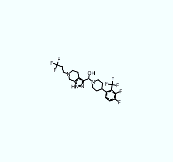 OC(c1n[nH]c2c1CCN(CCC(F)(F)F)C2)N1CCC(c2ccc(F)c(F)c2C(F)(F)F)CC1